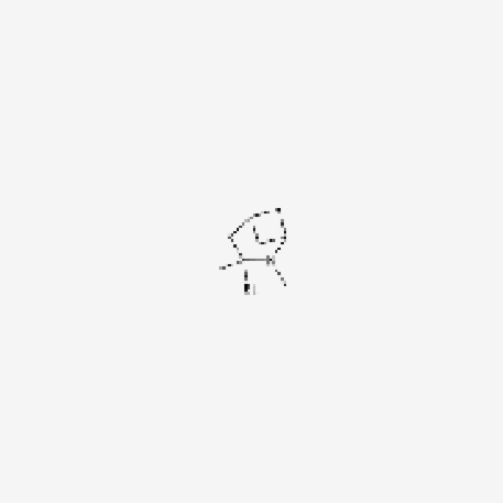 CCC1(C)CC2CC(C2)N1C